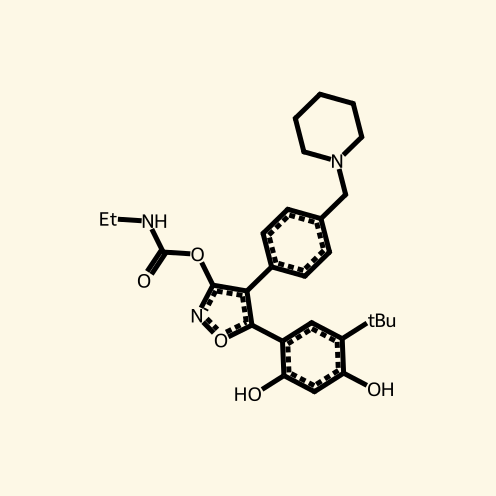 CCNC(=O)Oc1noc(-c2cc(C(C)(C)C)c(O)cc2O)c1-c1ccc(CN2CCCCC2)cc1